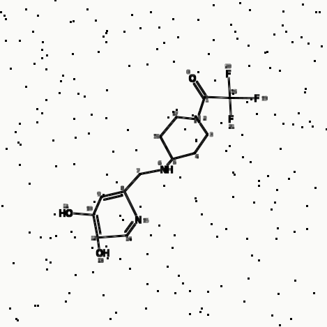 O=C(N1CCC(NCc2cc(O)c(O)cn2)CC1)C(F)(F)F